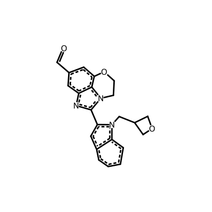 O=Cc1cc2c3c(c1)nc(-c1cc4ccccc4n1CC1COC1)n3CCO2